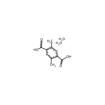 Cc1nc(C(=O)O)c(C)nc1C(=O)O.O.O